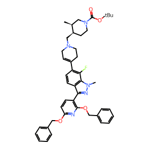 C[C@H]1CN(C(=O)OC(C)(C)C)CC[C@H]1CN1CC=C(c2ccc3c(-c4ccc(OCc5ccccc5)nc4OCc4ccccc4)nn(C)c3c2F)CC1